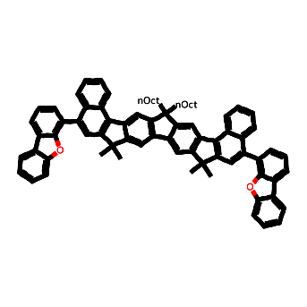 CCCCCCCCC1(CCCCCCCC)c2cc3c(cc2-c2cc4c(cc21)-c1c(cc(-c2cccc5c2oc2ccccc25)c2ccccc12)C4(C)C)C(C)(C)c1cc(-c2cccc4c2oc2ccccc24)c2ccccc2c1-3